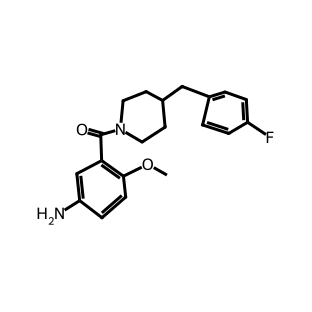 COc1ccc(N)cc1C(=O)N1CCC(Cc2ccc(F)cc2)CC1